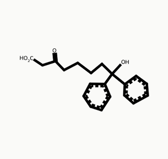 O=C(O)CC(=O)CCCCC(O)(c1ccccc1)c1ccccc1